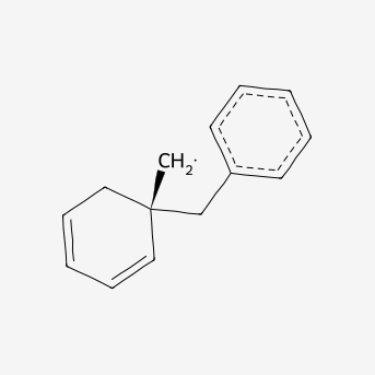 [CH2][C@@]1(Cc2ccccc2)C=CC=CC1